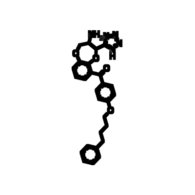 NC1COc2cccc(C(=O)c3ccc(OCCCCc4ccccc4)cc3)c2OC1c1nnn[nH]1